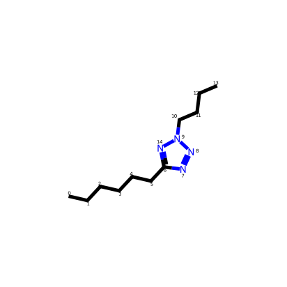 CCCCCCc1nnn(CCCC)n1